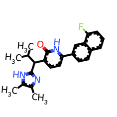 Cc1nc(C(c2ccc(-c3ccc4cccc(F)c4c3)[nH]c2=O)C(C)C)[nH]c1C